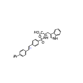 CC(C)c1ccc(/C=C/c2ccc(S(=O)(=O)N[C@H](Cc3c[nH]c4ccccc34)C(=O)O)cc2)cc1